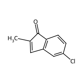 CC1=Cc2cc(Cl)ccc2C1=O